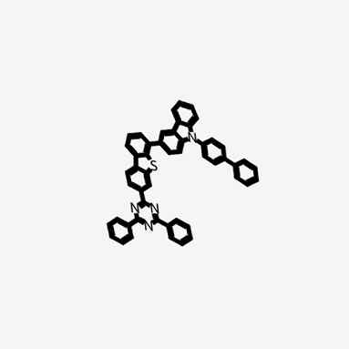 c1ccc(-c2ccc(-n3c4ccccc4c4cc(-c5cccc6c5sc5cc(-c7nc(-c8ccccc8)nc(-c8ccccc8)n7)ccc56)ccc43)cc2)cc1